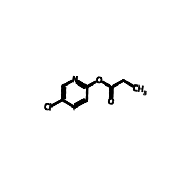 CCC(=O)Oc1c[c]c(Cl)cn1